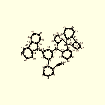 N#Cc1ccccc1-c1cc(N2c3ccccc3C3(c4ccccc4-c4ccccc43)c3ccccc32)cc(-n2c3ccccc3c3cnccc32)c1